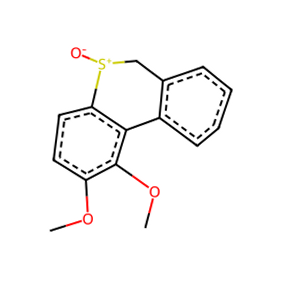 COc1ccc2c(c1OC)-c1ccccc1C[S+]2[O-]